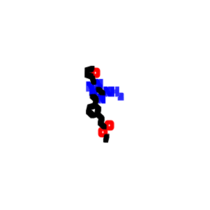 CCOC(=O)C=Cc1cccc(-c2cn3nc(-c4ccco4)nc3c(N)n2)c1